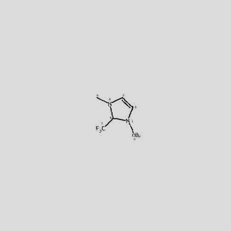 CCCCN1C=CN(C)C1C(F)(F)F